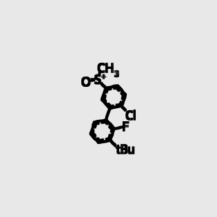 C[S+]([O-])c1ccc(Cl)c(-c2cccc(C(C)(C)C)c2F)c1